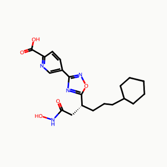 O=C(C[C@@H](CCCC1CCCCC1)c1nc(-c2ccc(C(=O)O)nc2)no1)NO